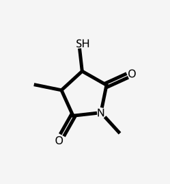 CC1C(=O)N(C)C(=O)C1S